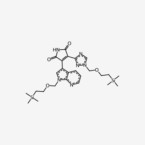 C[Si](C)(C)CCOCn1cnc(C2=C(c3cn(COCC[Si](C)(C)C)c4ncccc34)C(=O)NC2=O)n1